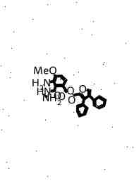 COc1ccc(C(=O)OC(=O)c2occ(-c3ccccc3)c2-c2ccccc2)c(C(=O)NN)c1N